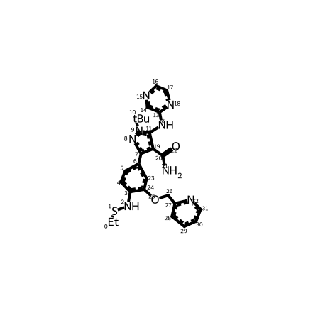 CCSNc1ccc(-c2nn(C(C)(C)C)c(Nc3cnccn3)c2C(N)=O)cc1OCc1ccccn1